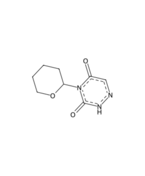 O=c1cn[nH]c(=O)n1C1CCCCO1